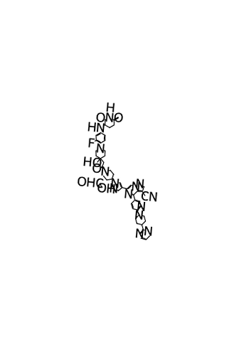 N#Cc1cnn2cc(-c3cnn(C4CCN(C(=O)CC5(O)CCN(c6ccc(NC7CCC(=O)NC7=O)cc6F)CC5)CC4)c3)nc(-c3ccc(N4CCC(c5ncccn5)CC4)nc3)c12.O=CO